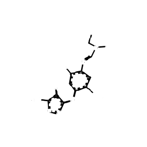 CCN(C)C=Nc1cc(C)c(Oc2snc(C)c2Br)cc1Cl